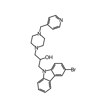 OC(CN1CCN(Cc2ccncc2)CC1)Cn1c2ccccc2c2cc(Br)ccc21